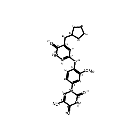 COc1cc(-n2nc(C#N)c(=O)[nH]c2=O)ccc1Oc1cc(CC2CCCC2)c(=O)[nH]n1